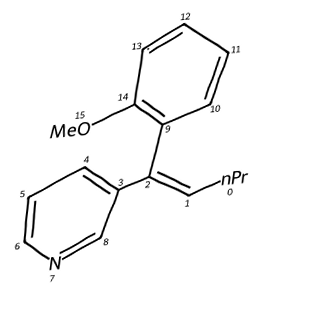 CCCC=C(c1cccnc1)c1ccc[c]c1OC